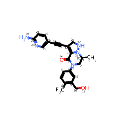 C[C@H]1CN(c2ccc(C(F)(F)F)c(CO)c2)C(=O)C2=C(C#Cc3ccc(N)nc3)CNN21